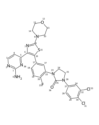 Nc1nccc(-c2nc(N3CCOCC3)sc2-c2ccc(F)c(N3CCN(c4ccc(Cl)c(Cl)c4)C3=O)c2)n1